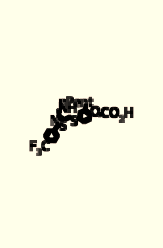 CCCCCNCc1nc(-c2ccc(C(F)(F)F)cc2)sc1CSc1ccc(OCC(=O)O)c(C)c1